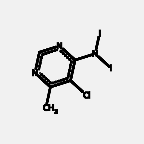 Cc1ncnc(N(I)I)c1Cl